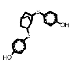 Oc1ccc(SC2CC3CC(Sc4ccc(O)cc4)C2C3)cc1